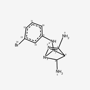 NC1=NN2C(N)C1N2Nc1cccc(Br)c1